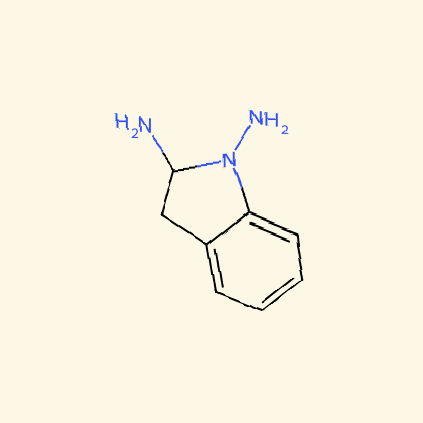 NC1Cc2ccccc2N1N